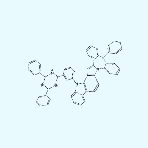 C1=CC(N2c3ccccc3-c3cc4c(ccc5c6ccccc6n(-c6cccc(C7NC(c8ccccc8)NC(c8ccccc8)N7)c6)c54)n3-c3ccccc32)=CCC1